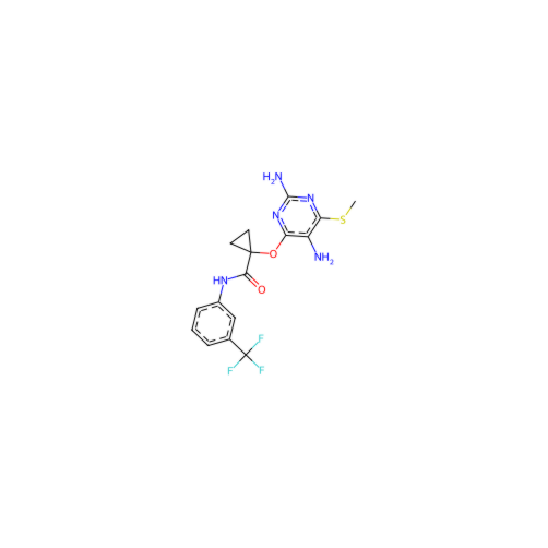 CSc1nc(N)nc(OC2(C(=O)Nc3cccc(C(F)(F)F)c3)CC2)c1N